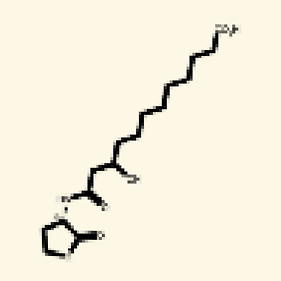 O=C(O)CCCCCCCCC(O)CC(=O)N[C@H]1CCOC1=O